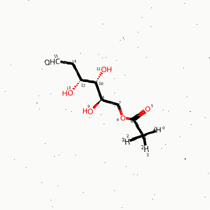 [2H]C([2H])([2H])C(=O)OC[C@@H](O)[C@@H](O)[C@H](O)CC=O